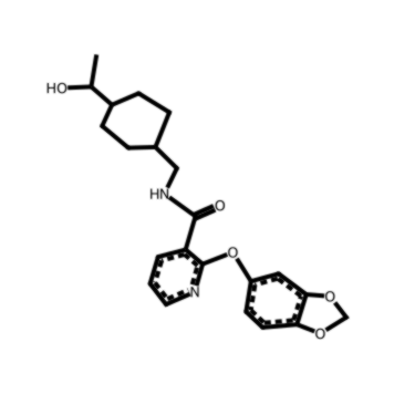 CC(O)C1CCC(CNC(=O)c2cccnc2Oc2ccc3c(c2)OCO3)CC1